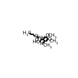 CCCCOC(=O)Nc1c(O)nc(C)c2cc(OC)c(OC)cc12